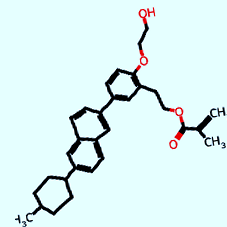 C=C(C)C(=O)OCCc1cc(-c2ccc3cc(C4CCC(C)CC4)ccc3c2)ccc1OCCO